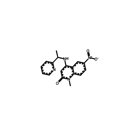 CC(Nc1cc(=O)n(C)c2ccc([N+](=O)[O-])cc12)c1ccccn1